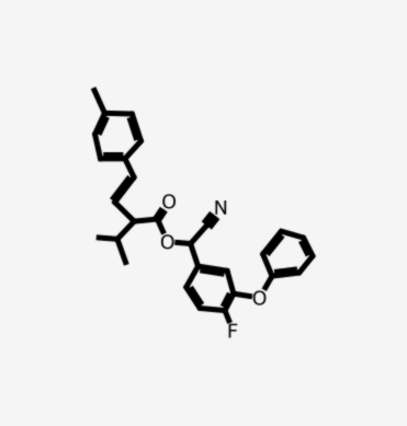 Cc1ccc(C=CC(C(=O)OC(C#N)c2ccc(F)c(Oc3ccccc3)c2)C(C)C)cc1